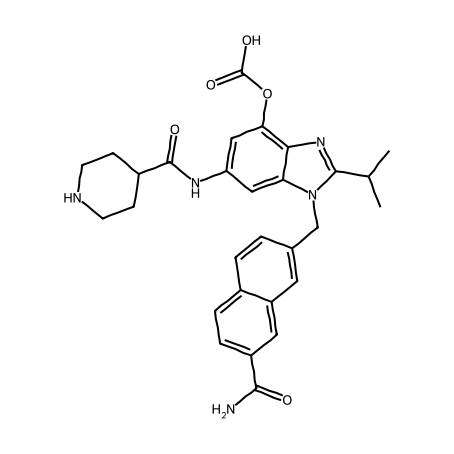 CC(C)c1nc2c(OC(=O)O)cc(NC(=O)C3CCNCC3)cc2n1Cc1ccc2ccc(C(N)=O)cc2c1